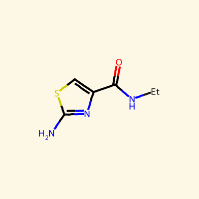 CCNC(=O)c1csc(N)n1